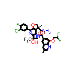 Cc1cnc2c(OCC(F)F)cc(C(=O)NC[C@](O)(c3cc4c(c(-c5ccc(F)c(Cl)c5)n3)OC[C@]4(C)C(N)=O)C(F)(F)F)cc2c1